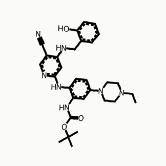 CCN1CCN(c2ccc(Nc3cc(NCc4ccccc4O)c(C#N)cn3)c(NC(=O)OC(C)(C)C)c2)CC1